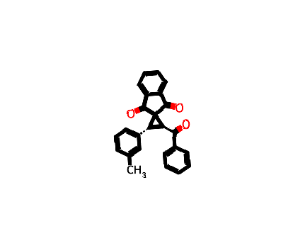 Cc1cccc([C@H]2[C@H](C(=O)c3ccccc3)C23C(=O)c2ccccc2C3=O)c1